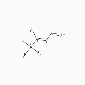 O=C/C=C(\Cl)C(F)(F)F